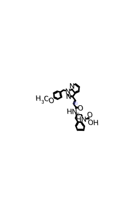 COc1ccc(Cn2nc(/C=C/C(=O)N[C@@H](CNC(=O)O)Cc3ccccc3)c3cccnc32)cc1